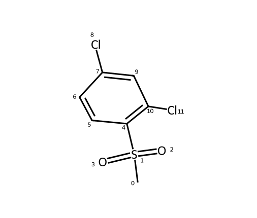 CS(=O)(=O)c1ccc(Cl)cc1Cl